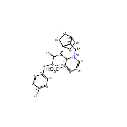 CC(CCc1ccc(F)cc1)SC1C(C(=O)O)=CC=CN1CC1C2CCC1CC2